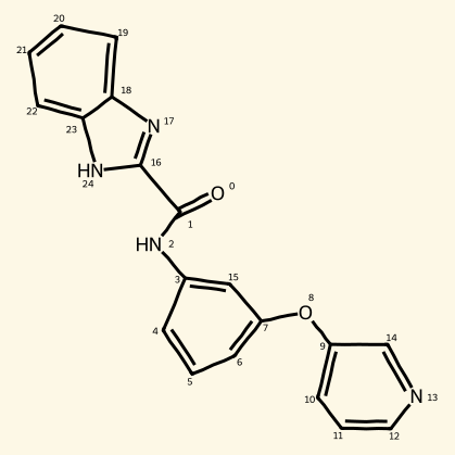 O=C(Nc1cccc(Oc2cccnc2)c1)c1nc2ccccc2[nH]1